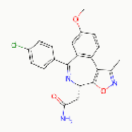 COc1ccc2c(c1)C(c1ccc(Cl)cc1)=N[C@@H](CC(N)=O)c1onc(C)c1-2